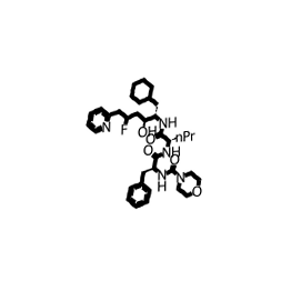 CCC[C@H](NC(=O)[C@H](Cc1ccccc1)NC(=O)N1CCOCC1)C(=O)N[C@@H](CC1CCCCC1)[C@@H](O)CC(F)Cc1ccccn1